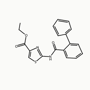 CCOC(=O)c1csc(NC(=O)c2ccccc2-c2ccccc2)n1